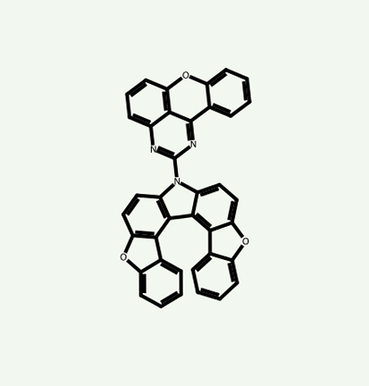 c1ccc2c(c1)Oc1cccc3nc(-n4c5ccc6oc7ccccc7c6c5c5c6c(ccc54)oc4ccccc46)nc-2c13